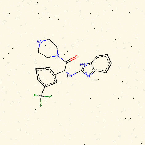 O=C(C(Nc1nc2ccccc2[nH]1)c1cccc(C(F)(F)F)c1)N1CCNCC1